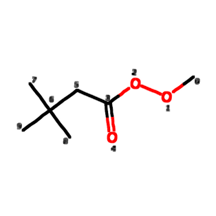 COOC(=O)CC(C)(C)C